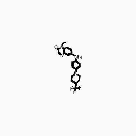 CCn1c(=O)cnc2cc(Nc3ccc(N4CCC(C(F)(F)F)CC4)cc3)ccc21